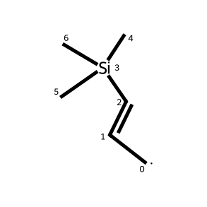 [CH2]/C=C/[Si](C)(C)C